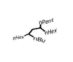 CCCCCCC(CCCC)CC(CCCCC)CCCCCC